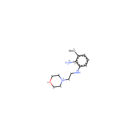 COc1cccc(NCCN2CCOCC2)c1N